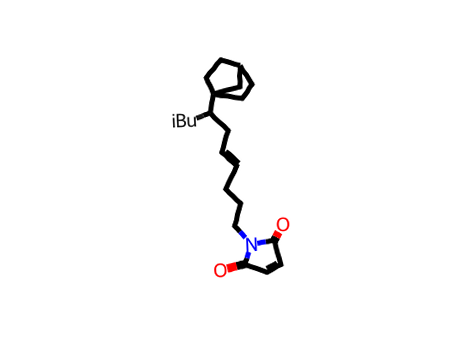 CCC(C)C(CC=CCCCN1C(=O)C=CC1=O)C12CCC(CC1)C2